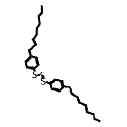 CCCCCCCCCc1ccc(SSSc2ccc(CCCCCCCCC)cc2)cc1